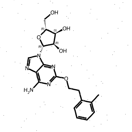 Cc1ccccc1CCOc1nc(N)c2ncn([C@@H]3O[C@H](CO)[C@@H](O)[C@H]3O)c2n1